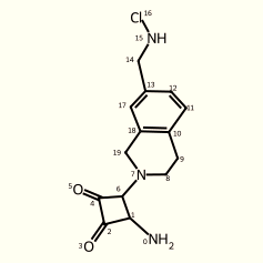 NC1C(=O)C(=O)C1N1CCc2ccc(CNCl)cc2C1